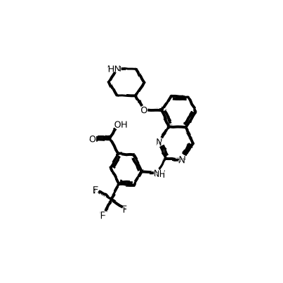 O=C(O)c1cc(Nc2ncc3cccc(OC4CCNCC4)c3n2)cc(C(F)(F)F)c1